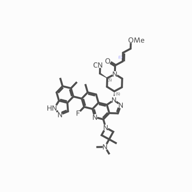 COC/C=C/C(=O)N1CC[C@H](n2ncc3c(N4CC(C)(N(C)C)C4)nc4c(F)c(-c5c(C)c(C)cc6[nH]ncc56)c(C)cc4c32)C[C@H]1CC#N